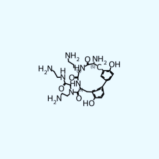 NCCC[C@@H]1NC(=O)[C@@H](N)Cc2cc(ccc2O)-c2ccc(O)c(c2)C[C@@H](C(=O)N(CCN)CC(=O)NCCN)NC1=O